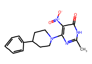 Cc1nc(N2CCC(c3ccccc3)CC2)c([N+](=O)[O-])c(=O)[nH]1